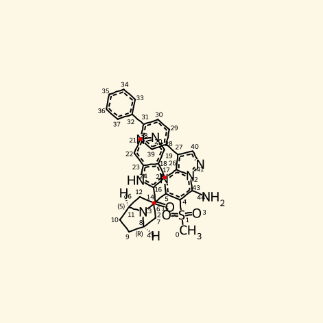 CS(=O)(=O)c1c(C2C[C@H]3CC[C@@H](C2)N3C(=O)c2cc3cnccc3[nH]2)nc2c(-c3ccc(-c4ccccc4)nc3)cnn2c1N